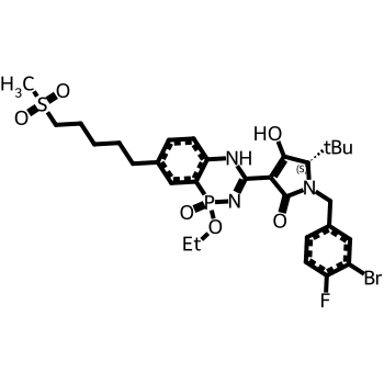 CCOP1(=O)N=C(C2=C(O)[C@H](C(C)(C)C)N(Cc3ccc(F)c(Br)c3)C2=O)Nc2ccc(CCCCCS(C)(=O)=O)cc21